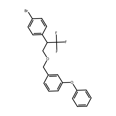 FC(F)(F)C(COCc1cccc(Oc2ccccc2)c1)c1ccc(Br)cc1